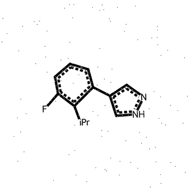 CC(C)c1c(F)cccc1-c1cn[nH]c1